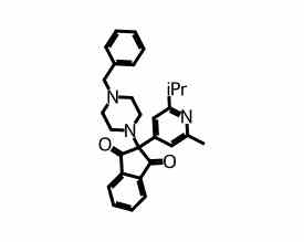 Cc1cc(C2(N3CCN(Cc4ccccc4)CC3)C(=O)c3ccccc3C2=O)cc(C(C)C)n1